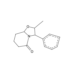 CC1OC2CCCC(=O)N2C1c1ccccc1